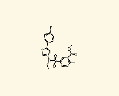 CCN(c1csc(-c2ccc(F)cc2)n1)S(=O)(=O)c1ccc(C)c(C(=O)OC)c1